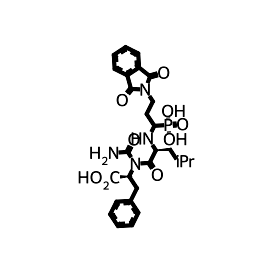 CC(C)C[C@H](NC(CCN1C(=O)c2ccccc2C1=O)P(=O)(O)O)C(=O)N(C(N)=O)[C@@H](Cc1ccccc1)C(=O)O